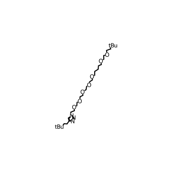 CC(C)(C)CCOCCOCCCCCOCCOCCOCCOCCOCCn1cc(CCC(C)(C)C)nn1